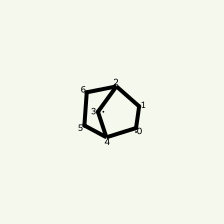 [CH]1CC2[CH]C1CC2